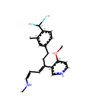 CN/C=C\C=C(/CCc1ccc(C(F)F)c(C)c1)c1cnccc1OC